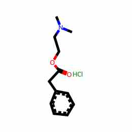 CN(C)CCOC(=O)Cc1ccccc1.Cl